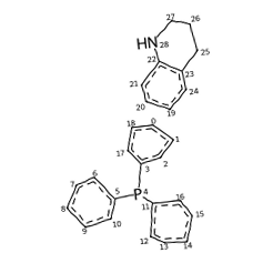 c1ccc(P(c2ccccc2)c2ccccc2)cc1.c1ccc2c(c1)CCCN2